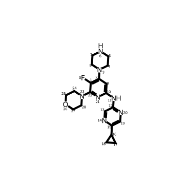 Fc1c(N2CCNCC2)cc(Nc2cnc(C3CC3)cn2)nc1N1CCOCC1